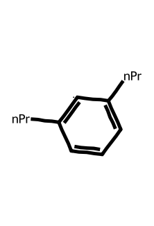 CCCc1[c]c(CCC)ccc1